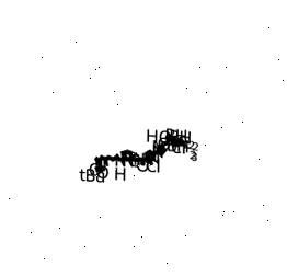 BC(O)(COc1ccn(-c2ccc(C(=O)NSc3cccc(NCCCC4CN(C(=O)OC(C)(C)C)C(C)(C)C4)n3)c(Cl)n2)n1)C(B)(B)C1(C(F)(F)F)CC1